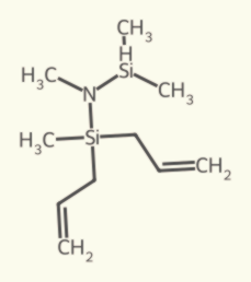 C=CC[Si](C)(CC=C)N(C)[SiH](C)C